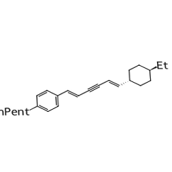 CCCCCc1ccc(/C=C/C#C/C=C/[C@H]2CC[C@H](CC)CC2)cc1